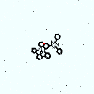 c1ccc(-c2nc(-c3ccccc3)nc(-c3cccc(N4B5c6c(cccc6-c6ccccc64)-c4ccccc4N5c4ccccc4)c3)n2)cc1